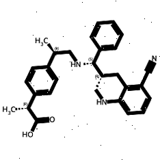 C[C@@H](CN[C@H](c1ccccc1)[C@H]1CNc2cccc(C#N)c2C1)c1ccc([C@@H](C)C(=O)O)cc1